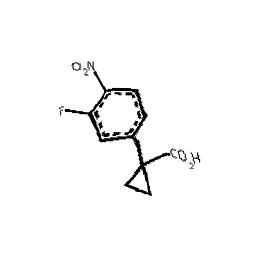 O=C(O)C1(c2ccc([N+](=O)[O-])c(F)c2)CC1